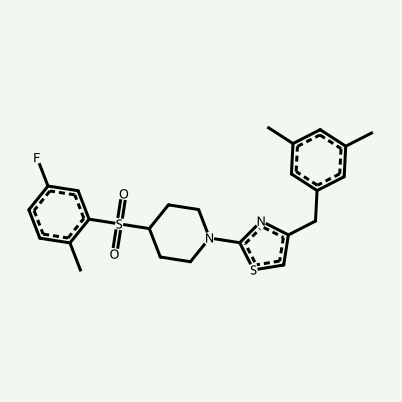 Cc1cc(C)cc(Cc2csc(N3CCC(S(=O)(=O)c4cc(F)ccc4C)CC3)n2)c1